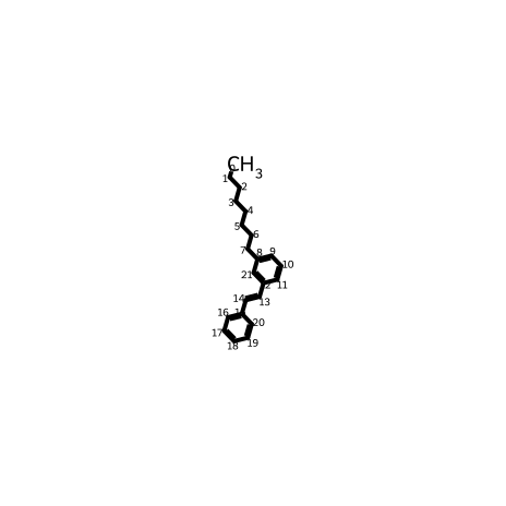 CCCCCCCCc1cccc(C=Cc2ccccc2)c1